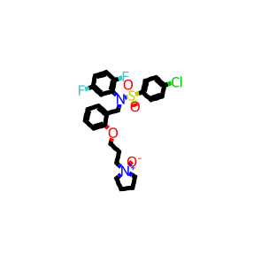 O=S(=O)(c1ccc(Cl)cc1)N(Cc1ccccc1OCCC[N+]1([O-])CCCC1)c1cc(F)ccc1F